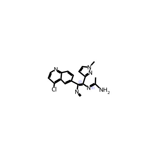 C=N/C(=C(\N=C(/C)N)c1ccn(C)n1)c1ccc2nccc(Cl)c2c1